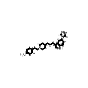 FC(F)(F)c1ccc(CCN2CCC(CCCc3c[nH]c4ccc(-n5cnnc5)cc34)CC2)cc1